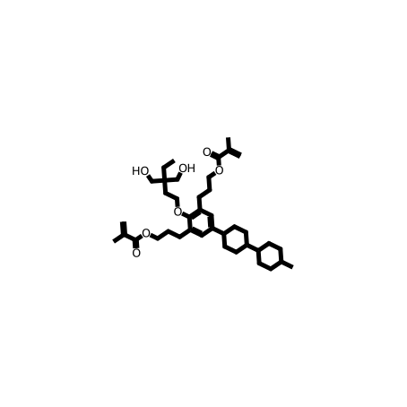 C=C(C)C(=O)OCCCc1cc(C2CCC(C3CCC(C)CC3)CC2)cc(CCCOC(=O)C(=C)C)c1OCCC(CC)(CO)CO